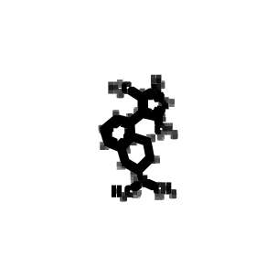 Cc1n[nH]c(C)c1-c1cccc2c1CC[C@H](N(C)C)C2